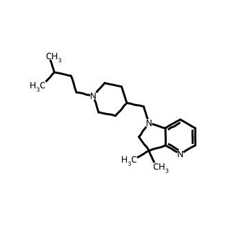 CC(C)CCN1CCC(CN2CC(C)(C)c3ncccc32)CC1